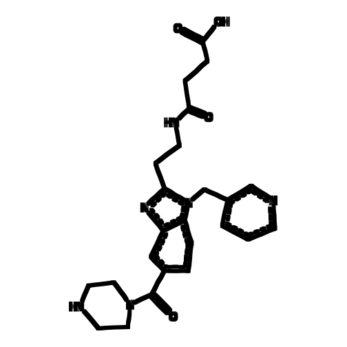 O=C(O)CCC(=O)NCCc1nc2cc(C(=O)N3CCNCC3)ccc2n1Cc1cccnc1